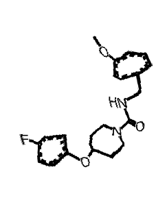 COc1cccc(CNC(=O)N2CCC(Oc3ccc(F)cc3)CC2)c1